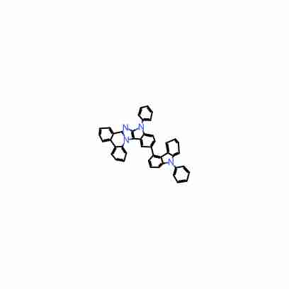 c1ccc(-n2c3ccccc3c3c(-c4ccc5c(c4)c4c(nc6c7ccccc7c7ccccc7n64)n5-c4ccccc4)cccc32)cc1